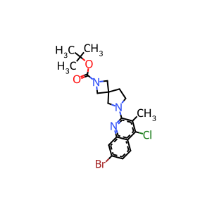 Cc1c(N2CCC3(CN(C(=O)OC(C)(C)C)C3)C2)nc2cc(Br)ccc2c1Cl